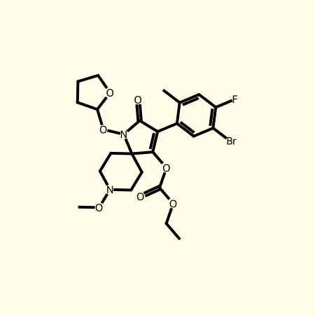 CCOC(=O)OC1=C(c2cc(Br)c(F)cc2C)C(=O)N(OC2CCCO2)C12CCN(OC)CC2